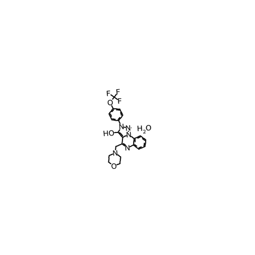 O.OC1=C2C(CN3CCOCC3)=Nc3ccccc3N2[N]N1c1ccc(OC(F)(F)F)cc1